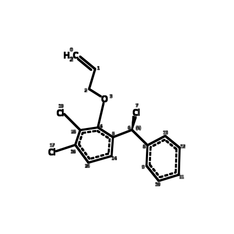 C=CCOc1c([C@@H](Cl)c2ccccc2)ccc(Cl)c1Cl